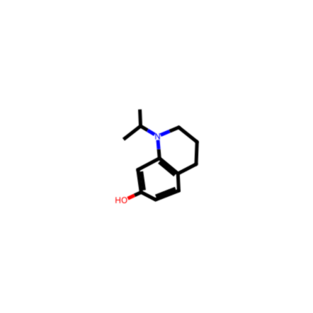 CC(C)N1CCCc2ccc(O)cc21